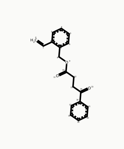 C=Cc1ccccc1COC(=O)CCC(=O)c1ccccc1